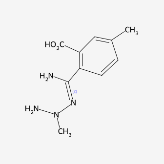 Cc1ccc(/C(N)=N/N(C)N)c(C(=O)O)c1